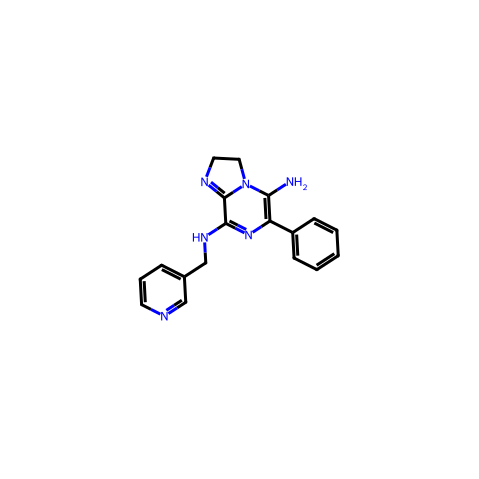 NC1=C(c2ccccc2)N=C(NCc2cccnc2)C2=NCCN21